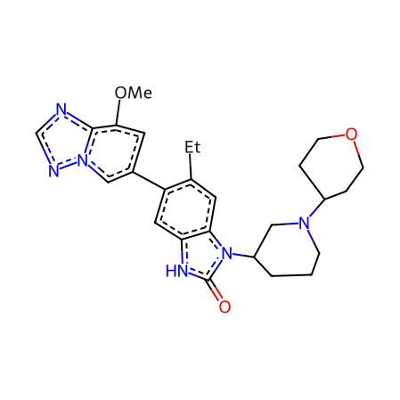 CCc1cc2c(cc1-c1cc(OC)c3ncnn3c1)[nH]c(=O)n2C1CCCN(C2CCOCC2)C1